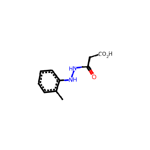 Cc1ccccc1NNC(=O)CC(=O)O